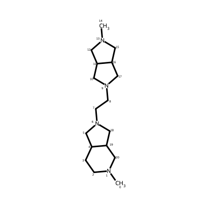 CN1CCC2CN(CCN3CC4CN(C)CC4C3)CC2C1